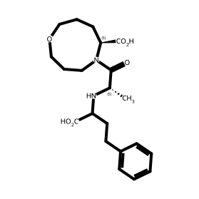 C[C@H](NC(CCc1ccccc1)C(=O)O)C(=O)N1CCCOCCC[C@H]1C(=O)O